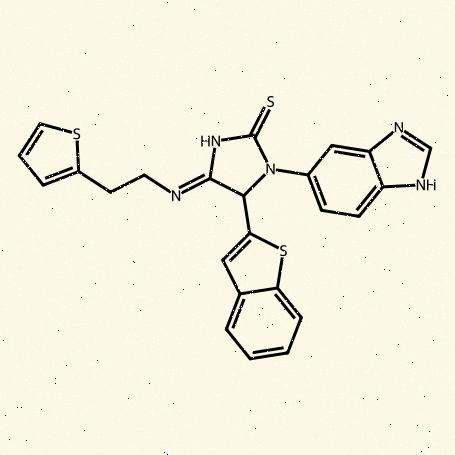 S=C1NC(=NCCc2cccs2)C(c2cc3ccccc3s2)N1c1ccc2[nH]cnc2c1